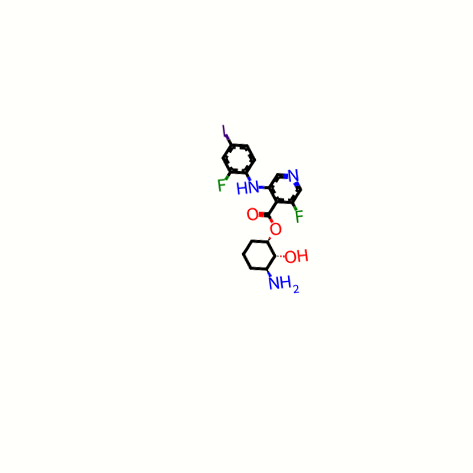 N[C@H]1CCC[C@H](OC(=O)c2c(F)cncc2Nc2ccc(I)cc2F)[C@@H]1O